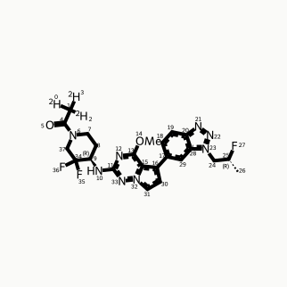 [2H]C([2H])([2H])C(=O)N1CC[C@@H](Nc2nc(OC)c3c(-c4ccc5nnn(C[C@@H](C)F)c5c4)ccn3n2)C(F)(F)C1